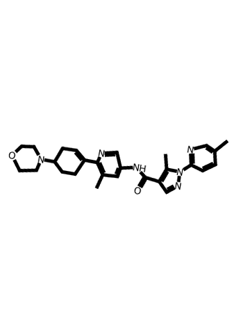 Cc1ccc(-n2ncc(C(=O)Nc3cnc(C4=CCC(N5CCOCC5)CC4)c(C)c3)c2C)nc1